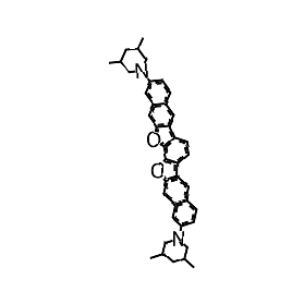 CC1CC(C)CN(c2ccc3cc4c(cc3c2)oc2c4ccc3c4cc5ccc(N6CC(C)CC(C)C6)cc5cc4oc32)C1